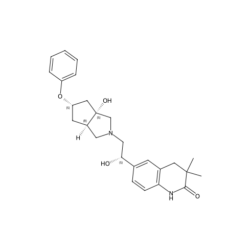 CC1(C)Cc2cc([C@H](O)CN3C[C@H]4C[C@H](Oc5ccccc5)C[C@@]4(O)C3)ccc2NC1=O